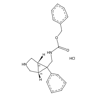 Cl.O=C(NCC1(c2ccccc2)[C@@H]2CNC[C@@H]21)OCc1ccccc1